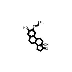 CCOc1cc2c(cc1O)CCC1C2CC[C@]2(O)C(=O)CCC12